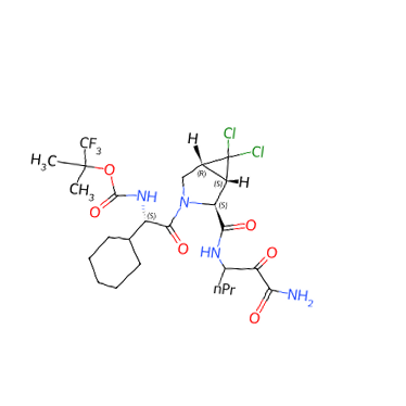 CCCC(NC(=O)[C@@H]1[C@@H]2[C@H](CN1C(=O)[C@@H](NC(=O)OC(C)(C)C(F)(F)F)C1CCCCC1)C2(Cl)Cl)C(=O)C(N)=O